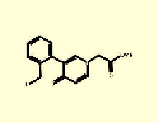 COC(=O)Cn1ccc(=O)c(-c2ccccc2CCl)c1